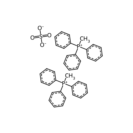 C[P+](c1ccccc1)(c1ccccc1)c1ccccc1.C[P+](c1ccccc1)(c1ccccc1)c1ccccc1.O=S(=O)([O-])[O-]